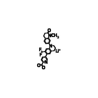 CN1C(=O)CCc2ccc(N3CCCc4cc(-c5ccc(C(=O)[O-])nc5)c(C(F)F)cc43)cc21.[Li+]